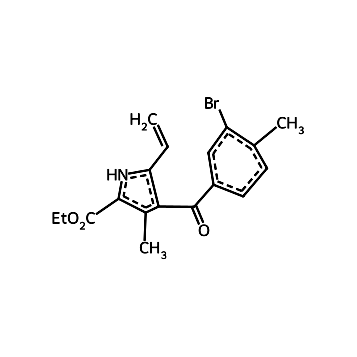 C=Cc1[nH]c(C(=O)OCC)c(C)c1C(=O)c1ccc(C)c(Br)c1